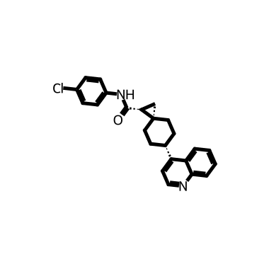 O=C(Nc1ccc(Cl)cc1)[C@@H]1C[C@]12CC[C@@H](c1ccnc3ccccc31)CC2